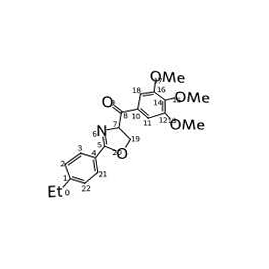 CCc1ccc(C2=NC(C(=O)c3cc(OC)c(OC)c(OC)c3)CO2)cc1